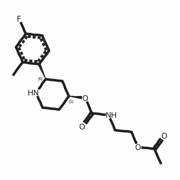 CC(=O)OCCNC(=O)O[C@H]1CCN[C@@H](c2ccc(F)cc2C)C1